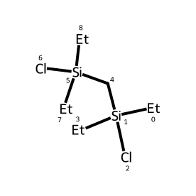 CC[Si](Cl)(CC)C[Si](Cl)(CC)CC